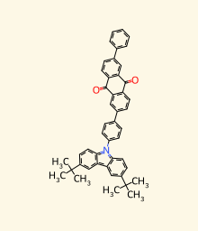 CC(C)(C)c1ccc2c(c1)c1cc(C(C)(C)C)ccc1n2-c1ccc(-c2ccc3c(c2)C(=O)c2ccc(-c4ccccc4)cc2C3=O)cc1